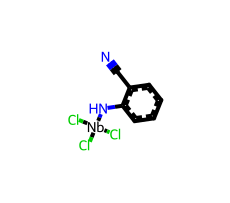 N#Cc1ccccc1[NH][Nb]([Cl])([Cl])[Cl]